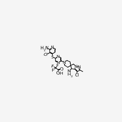 Cc1nn2c(c1Cl)[C@@H](N)C1(CCN(c3cnc(Sc4ccnc(N)c4Cl)cn3)CC1)C2.O=C(O)C(F)(F)F